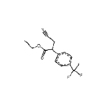 CCOC(=O)C(CC#N)c1ccc(C(F)(F)F)cc1